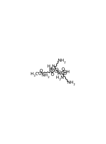 CCOC(=O)[C@@H](N)CCCCNC(=O)[C@H](CSSC[C@H](NC(=O)[C@@H](N)CCCCN)C(=O)O)NC(=O)C(N)CCCCN